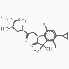 C[C@@H](CNC(=O)CN1C(=O)C(C)(C)c2c(F)c(C3CC3)cc(F)c21)[C@@H](C)C(=O)O